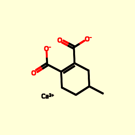 CC1CCC(C(=O)[O-])=C(C(=O)[O-])C1.[Ca+2]